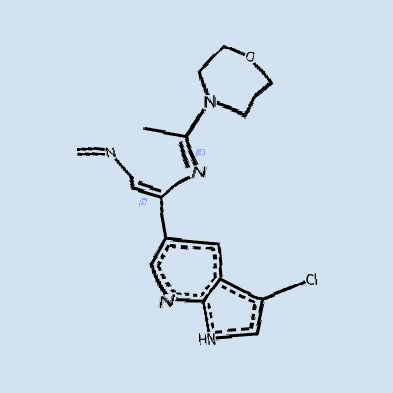 C=N/C=C(\N=C(/C)N1CCOCC1)c1cnc2[nH]cc(Cl)c2c1